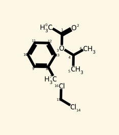 CC(=O)OC(C)C.Cc1ccccc1.ClCCl